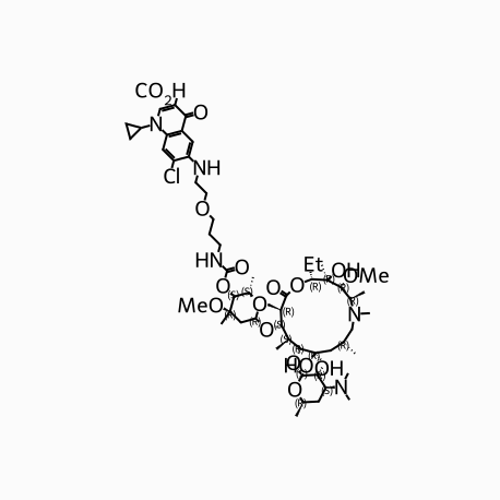 CC[C@H]1OC(=O)[C@H](C)[C@@H](O[C@H]2C[C@@](C)(OC)[C@@H](OC(=O)NCCCOCCNc3cc4c(=O)c(C(=O)O)cn(C5CC5)c4cc3Cl)[C@H](C)O2)[C@H](C)[C@@H](O[C@@H]2O[C@H](C)C[C@H](N(C)C)[C@H]2O)[C@](C)(O)C[C@@H](C)CN(C)[C@H](C)[C@@H](OC)[C@]1(C)O